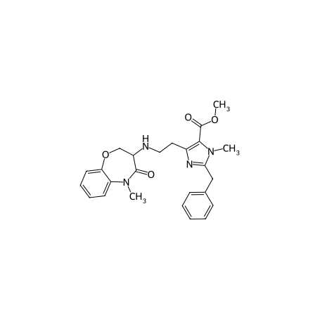 COC(=O)c1c(CCNC2COc3ccccc3N(C)C2=O)nc(Cc2ccccc2)n1C